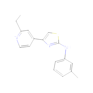 CCc1cc(-c2csc(Nc3cccc(C)c3)n2)ccn1